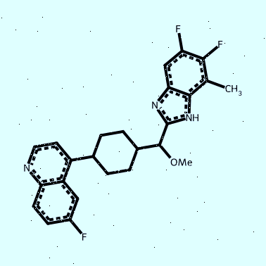 COC(c1nc2cc(F)c(F)c(C)c2[nH]1)C1CCC(c2ccnc3ccc(F)cc23)CC1